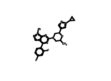 CC1CN(c2nc(-c3ccc(F)cc3F)c3cnn(C(C)C)c3n2)CC(c2cnn(C3CC3)c2)O1